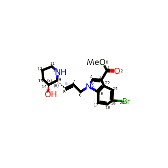 COC(=O)c1cn(C/C=C/[C@H]2NCCC[C@@H]2O)c2ccc(Br)cc12